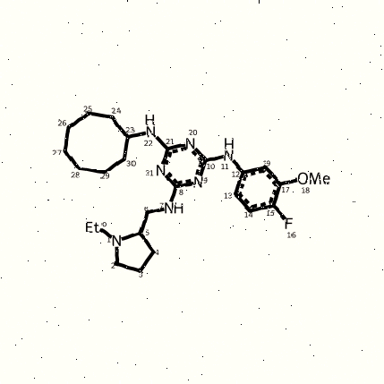 CCN1CCCC1CNc1nc(Nc2ccc(F)c(OC)c2)nc(NC2CCCCCCC2)n1